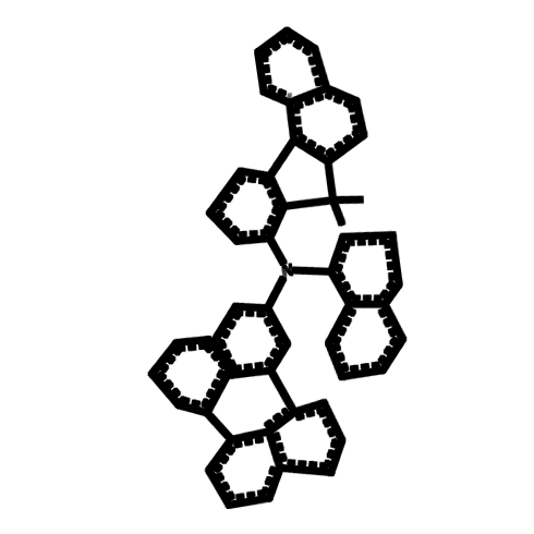 CC1(C)c2ccc3ccccc3c2-c2cccc(N(c3cccc(-c4cccc5cccc(-c6ccccc6)c45)c3)c3cccc4ccccc34)c21